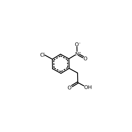 O=C(O)Cc1ccc(Cl)cc1[N+](=O)[O-]